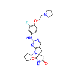 O=C1CC2(Cc3cnc(Nc4ccc(OCCN5CCCC5)c(F)c4)nc3N2C2CCCC2)C(=O)N1